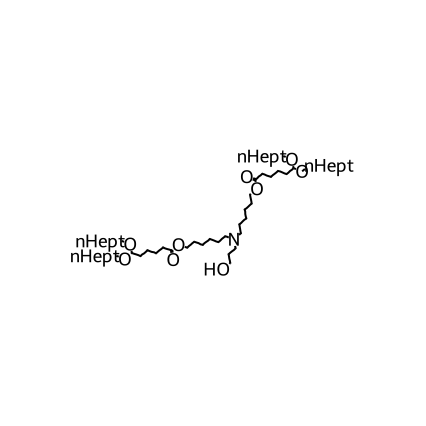 CCCCCCCOC(CCCCC(=O)OCCCCCCN(CCCO)CCCCCCOC(=O)CCCCC(OCCCCCCC)OCCCCCCC)OCCCCCCC